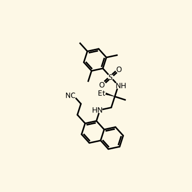 CC[C@@](C)(CNc1c(CCC#N)ccc2ccccc12)NS(=O)(=O)c1c(C)cc(C)cc1C